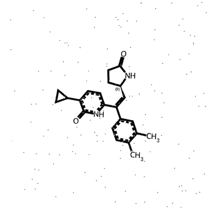 Cc1ccc(C(=C[C@H]2CCC(=O)N2)c2ccc(C3CC3)c(=O)[nH]2)cc1C